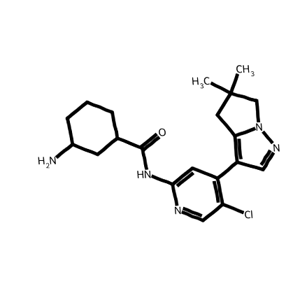 CC1(C)Cc2c(-c3cc(NC(=O)C4CCCC(N)C4)ncc3Cl)cnn2C1